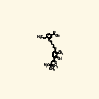 COc1ccc(C(=O)O)cc1OCCCCSc1ccc(C(=O)CC(C)(C)C)c(O)c1C